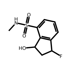 CNS(=O)(=O)c1cccc2c1C(O)CC2F